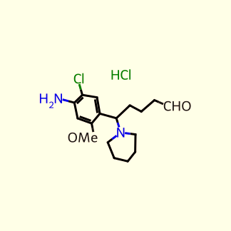 COc1cc(N)c(Cl)cc1C(CCCC=O)N1CCCCC1.Cl